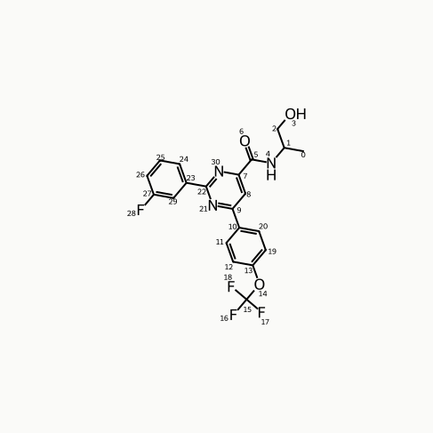 CC(CO)NC(=O)c1cc(-c2ccc(OC(F)(F)F)cc2)nc(-c2cccc(F)c2)n1